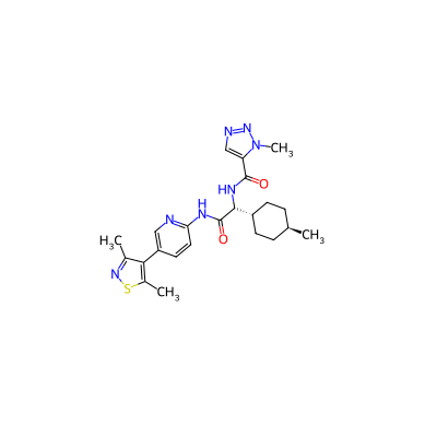 Cc1nsc(C)c1-c1ccc(NC(=O)C(NC(=O)c2cnnn2C)[C@H]2CC[C@H](C)CC2)nc1